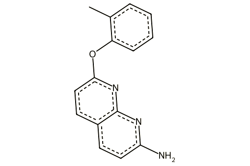 Cc1ccccc1Oc1ccc2ccc(N)nc2n1